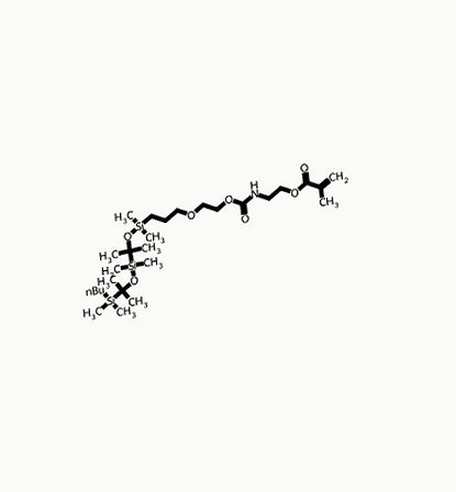 C=C(C)C(=O)OCCNC(=O)OCCOCCC[Si](C)(C)OC(C)(C)[Si](C)(C)OC(C)(C)[Si](C)(C)CCCC